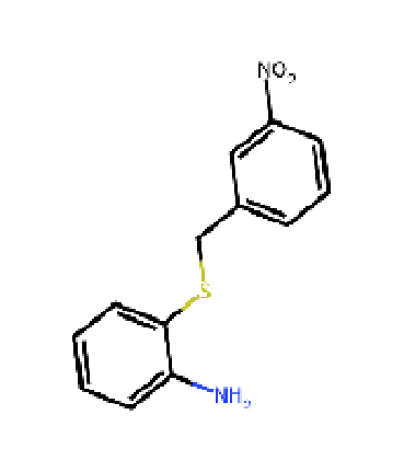 Nc1ccccc1SCc1cccc([N+](=O)[O-])c1